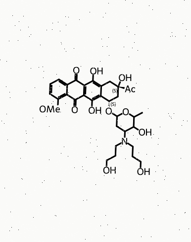 COc1cccc2c1C(=O)c1c(O)c3c(c(O)c1C2=O)C[C@@](O)(C(C)=O)C[C@@H]3OC1CC(N(CCCO)CCCO)C(O)C(C)O1